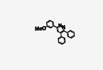 COc1cccc(-c2cc(-c3ccccc3)c(-c3ccccc3)nn2)c1